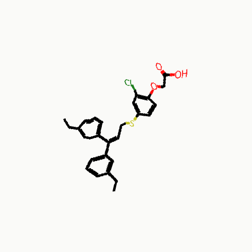 CCc1cccc(C(=CCSc2ccc(OCC(=O)O)c(Cl)c2)c2cccc(CC)c2)c1